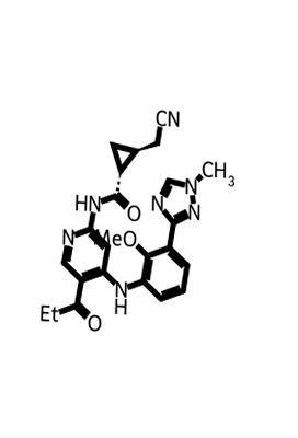 CCC(=O)c1cnc(NC(=O)[C@@H]2C[C@H]2CC#N)cc1Nc1cccc(-c2ncn(C)n2)c1OC